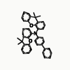 CC1(C)c2ccccc2Oc2c(N(c3ccc(-c4ccccc4)cc3)c3cccc4c3Oc3ccccc3C4(C)C)cccc21